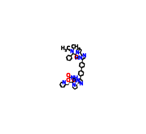 CCN(CC)C(C(=O)N1CCCC1c1ncc(-c2ccc(-c3ccc(-c4cnc([C@@H]5CCCN5C(=O)[C@H](Cc5ccccn5)OC(N)=O)[nH]4)cc3)cc2)[nH]1)c1ccccc1